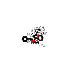 C=C(CC(OCc1ccccc1)C(=O)C(C)(O[Si](C)(C)C)C(=O)O)[C@@H]1CC=C(C)[C@H](O[Si](C)(C)C(C)(C)C)C1